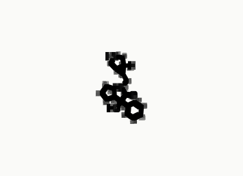 O=C(NC[C@H]1C2CNC[C@@H]21)C(O)(c1ccccc1)C1CCCC1